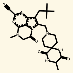 CC1NC(=O)C2(CCN(Cc3c(CC(C)(C)C)c4nc(C#N)nc5c4n3C(=O)CN5C)CC2)NC1=O